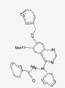 COc1cc2c(N(NC(=O)c3ccccc3)c3ccccc3)ncnc2cc1OCc1ccccc1